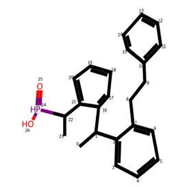 CC(c1ccccc1CCc1ccccc1)c1ccccc1C(C)[PH](=O)O